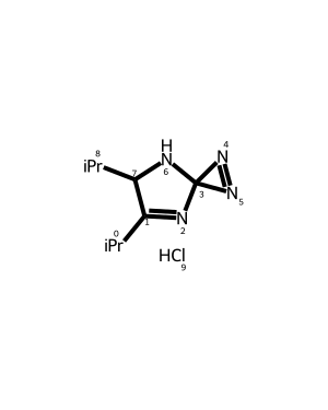 CC(C)C1=NC2(N=N2)NC1C(C)C.Cl